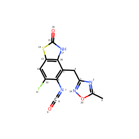 Cc1nc(Cc2c(N=C=O)c(F)cc3sc(=O)[nH]c23)no1